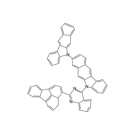 C1=CC2=C3C(=CC=C(c4nc(-n5c6ccccc6c6cc7ccc(-n8c9ccccc9c9cc%10ccccc%10cc98)cc7cc65)c5ccccc5n4)C3C1)c1ccccc12